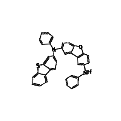 c1ccc(Nc2ccc3oc4ccc(N(c5ccccc5)c5ccc6c(c5)sc5ccccc56)cc4c3c2)cc1